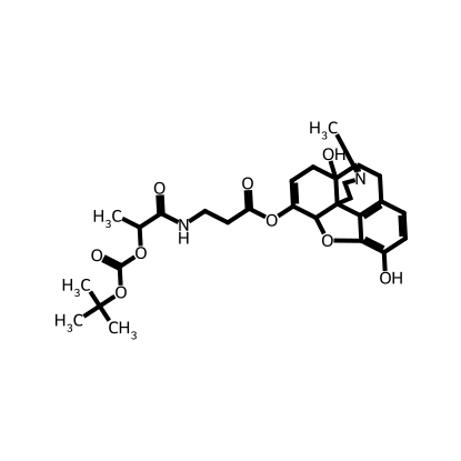 CC(OC(=O)OC(C)(C)C)C(=O)NCCC(=O)OC1=CCC2(O)C3Cc4ccc(O)c5c4C2(CCN3C)C1O5